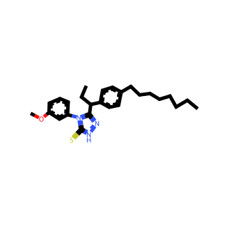 CCCCCCCCc1ccc(C(CC)c2n[nH]c(=S)n2-c2cccc(OC)c2)cc1